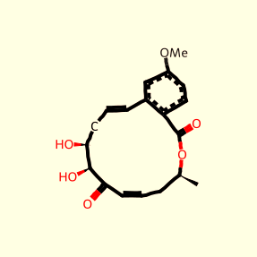 COc1ccc2c(c1)/C=C/C[C@H](O)[C@H](O)C(=O)/C=C\C[C@H](C)OC2=O